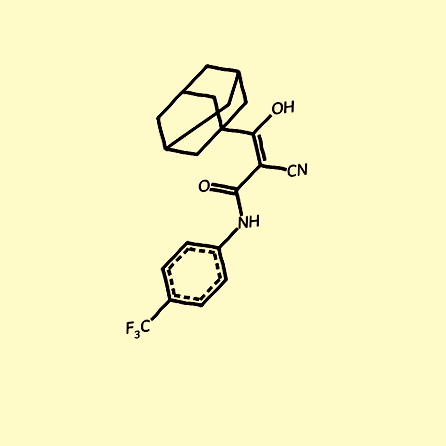 N#CC(C(=O)Nc1ccc(C(F)(F)F)cc1)=C(O)C12CC3CC(CC(C3)C1)C2